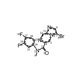 CN(C(=O)c1cn2c(Br)cnc2cn1)c1ccc(F)c(F)c1